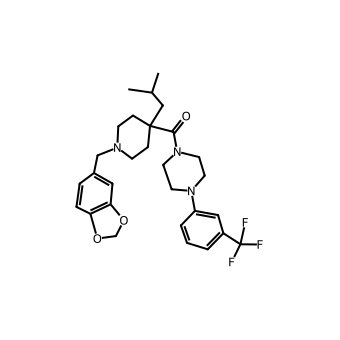 CC(C)CC1(C(=O)N2CCN(c3cccc(C(F)(F)F)c3)CC2)CCN(Cc2ccc3c(c2)OCO3)CC1